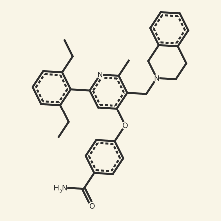 CCc1cccc(CC)c1-c1cc(Oc2ccc(C(N)=O)cc2)c(CN2CCc3ccccc3C2)c(C)n1